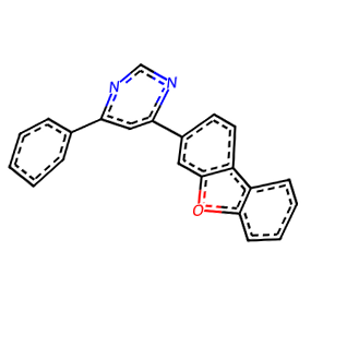 c1ccc(-c2cc(-c3ccc4c(c3)oc3ccccc34)ncn2)cc1